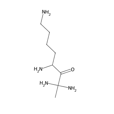 CC(N)(N)C(=O)C(N)CCCCN